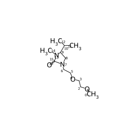 COCCOCCN1CC(C(C)C)N(C)C1=O